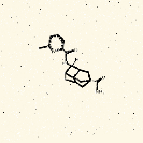 Cc1cccc(C(=O)N[C@H]2C3CC4CC2C[C@](C(N)=O)(C4)C3)n1